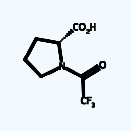 O=C(O)[C@H]1CCCN1C(=O)C(F)(F)F